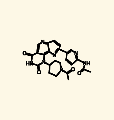 CC(=O)Nc1ccc(-c2ccc3ncc4c(=O)[nH]c(=O)n(C5CCN(C(C)=O)CC5)c4c3n2)cn1